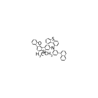 C[Si]1(C)c2cc(N(c3cccc(-c4cccc5ccccc45)c3)c3cccc4sc5ccccc5c34)ccc2-c2c1ccc1c2oc2ccccc21